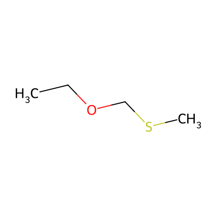 CCOCSC